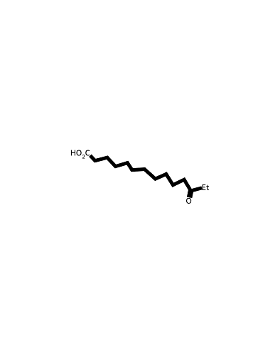 CCC(=O)CCCCCCCCCCC(=O)O